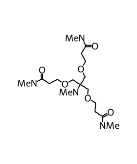 CNC(=O)CCOCC(COCCC(=O)NC)(COCCC(=O)NC)NC